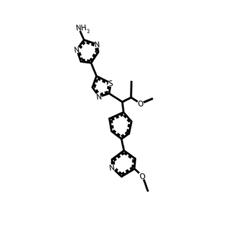 COc1cncc(-c2ccc(C(c3ncc(-c4cnc(N)nc4)s3)C(C)OC)cc2)c1